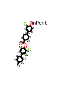 CCCCCOc1ccc(C2CCC(C(=O)Oc3ccc(-c4ccc(C)cc4)c(F)c3F)CC2)cc1F